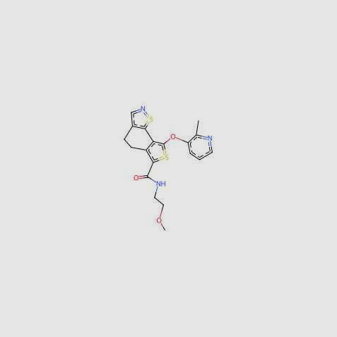 COCCNC(=O)c1sc(Oc2cccnc2C)c2c1CCc1cnsc1-2